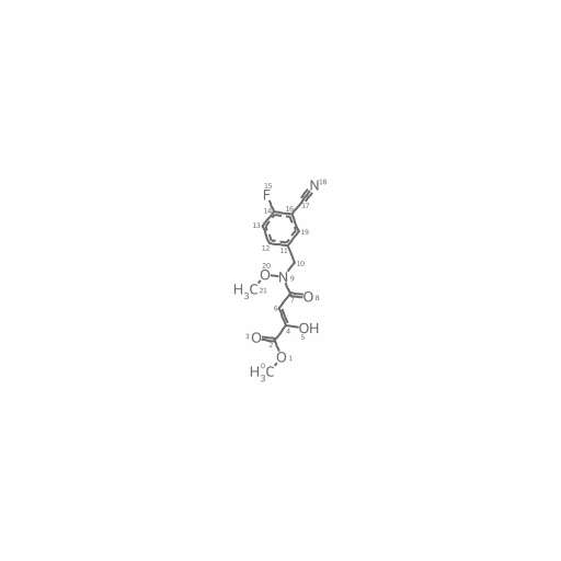 COC(=O)/C(O)=C/C(=O)N(Cc1ccc(F)c(C#N)c1)OC